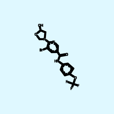 O=C(Nc1ccc(OC(F)(F)F)cc1)c1cnc(N2COC(O)C2)c(Br)c1